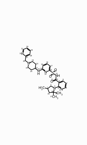 CC1CN(c2ncccc2C(=O)NS(=O)(=O)c2cccc(NC3CCN(Cc4ccccn4)CC3)n2)C(C)(C)C1